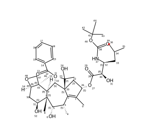 CC1=C2[C@H](C)[C@H](O)[C@@]3(C)[C@H]([C@H](OC(=O)c4ccccc4)[C@]2(C(C)(C)O)C[C@@H]1OC(=O)[C@H](O)[C@H](CC(C)C)NC(=O)OC(C)(C)C)[C@]1(C)CO[C@@H]1C[C@@H]3O